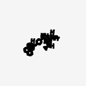 CC(C)Nc1nc(NC2CC2)nc(C(N)C2CCC(CNS(=O)(=O)c3cccc4ccccc34)CC2)n1